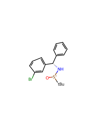 CC(C)(C)[S+]([O-])N[C@@H](c1ccccc1)c1cccc(Br)c1